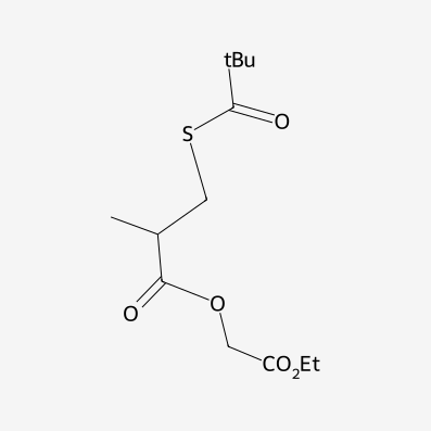 CCOC(=O)COC(=O)C(C)CSC(=O)C(C)(C)C